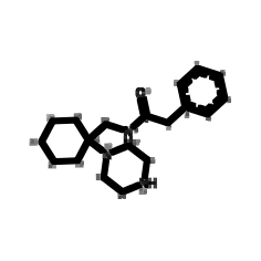 O=C(Cc1ccccc1)NCC1(N2CCNCC2)CCCCC1